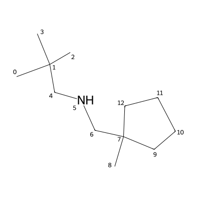 CC(C)(C)CNCC1(C)CCCC1